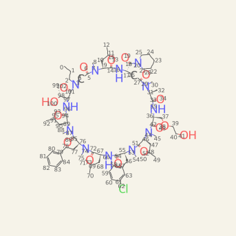 CCCN1CC(=O)N(C)[C@@H](CC(C)C)C(=O)N[C@H](C(=O)N2CCCCC2)CC(=O)N(C)[C@@H](C)C(=O)N[C@@H](COCCO)C(=O)N(C)[C@@H](CC(C)C)C(=O)N(C)[C@@H](Cc2cccc(Cl)c2)C(=O)N[C@@H](CC(C)C)C(=O)N(C)[C@@H](CCc2ccccc2)C(=O)N(C)[C@@H](CC(C)C)C(=O)N[C@@H]([C@@H](C)O)C1=O